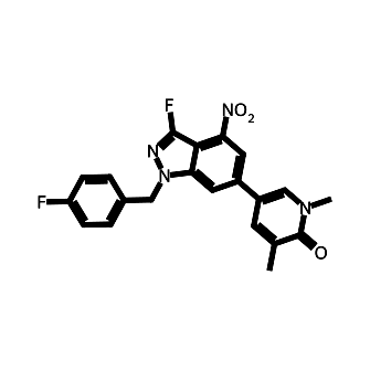 Cc1cc(-c2cc([N+](=O)[O-])c3c(F)nn(Cc4ccc(F)cc4)c3c2)cn(C)c1=O